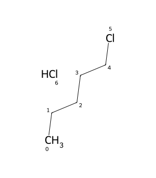 CCCCCCl.Cl